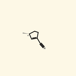 C[C@H]1C=C(C#N)CC1